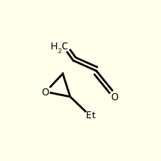 C=C=C=O.CCC1CO1